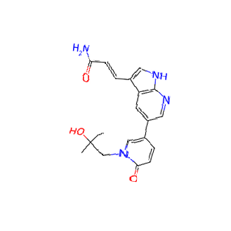 CC(C)(O)Cn1cc(-c2cnc3[nH]cc(/C=C/C(N)=O)c3c2)ccc1=O